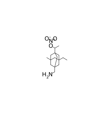 CCC12CC3(C)CC(CN)(C1)CC(C(C)O[N+](=O)[O-])(C3)C2